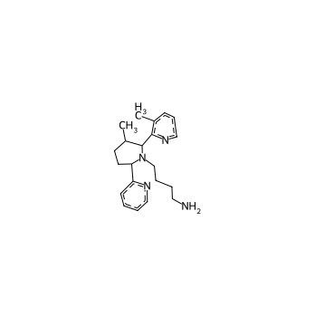 Cc1cccnc1C1C(C)CCC(c2ccccn2)N1CCCCN